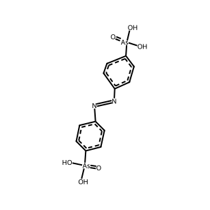 O=[As](O)(O)c1ccc(/N=N/c2ccc([As](=O)(O)O)cc2)cc1